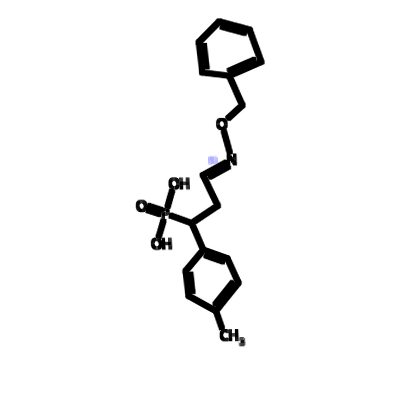 Cc1ccc(C(C/C=N/OCc2ccccc2)P(=O)(O)O)cc1